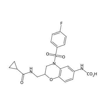 O=C(O)Nc1ccc2c(c1)N(S(=O)(=O)c1ccc(F)cc1)CC(CNC(=O)C1CC1)O2